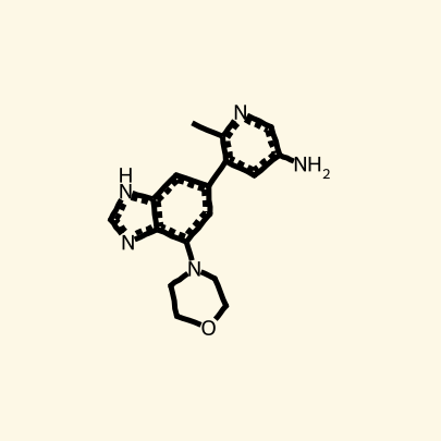 Cc1ncc(N)cc1-c1cc(N2CCOCC2)c2nc[nH]c2c1